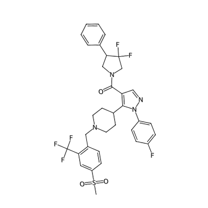 CS(=O)(=O)c1ccc(CN2CCC(c3c(C(=O)N4CC(c5ccccc5)C(F)(F)C4)cnn3-c3ccc(F)cc3)CC2)c(C(F)(F)F)c1